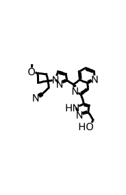 COC1CC(CC#N)(n2ccc(-c3nc(-c4cc(CO)n[nH]4)cc4ncccc34)n2)C1